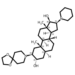 C[C@]12C[C@H](N3CCC4(CC3)OCCO4)[C@@H](O)C[C@@H]1CC[C@@H]1[C@@H]2CC[C@]2(C)[C@@H](O)[C@@H](N3CCCCC3)C[C@@H]12